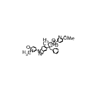 COc1ccc(S(=O)(=O)N2CCC(Cc3ccccc3)(c3cc4cnn(-c5ccc(=O)n(C)c5)c4cc3C)C2)cn1